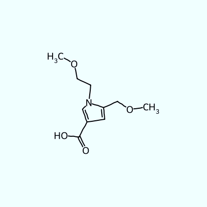 COCCn1cc(C(=O)O)cc1COC